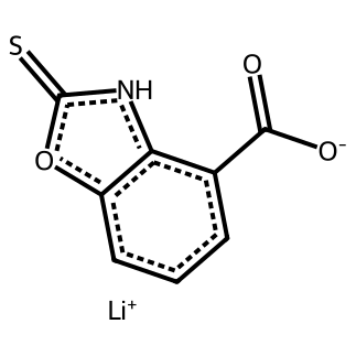 O=C([O-])c1cccc2oc(=S)[nH]c12.[Li+]